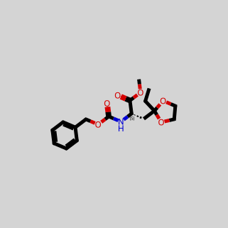 CCC1(C[C@H](NC(=O)OCc2ccccc2)C(=O)OC)OCCO1